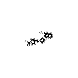 CCCCc1cc(OC2CCN(CCC3CCN(C(=O)CC)CC3)CC2)c2ncccc2c1